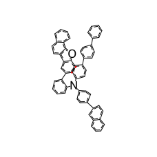 c1ccc(-c2ccc(-c3ccc(N(c4ccc(-c5ccc6ccccc6c5)cc4)c4ccccc4-c4ccc5oc6c7ccccc7ccc6c5c4)cc3)cc2)cc1